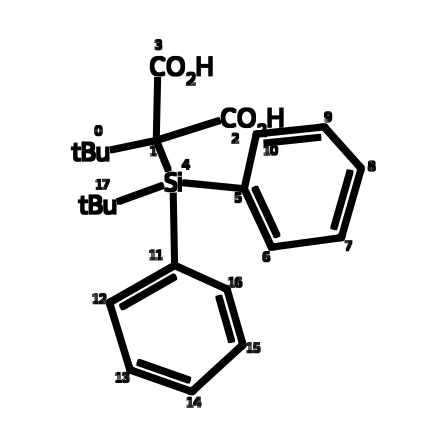 CC(C)(C)C(C(=O)O)(C(=O)O)[Si](c1ccccc1)(c1ccccc1)C(C)(C)C